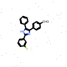 O=Cc1ccc(-c2nc(-c3cccc(F)c3)[nH]c2-c2ccccc2)cc1